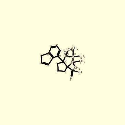 C[Si]1(C)C2(C([NH])=O)CCCC2(c2cccc3c2C=CC3)[Si](C)(C)[Si]1(C)C